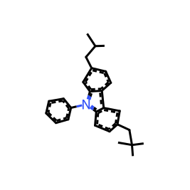 CC(C)Cc1ccc2c3cc(CC(C)(C)C)ccc3n(-c3ccccc3)c2c1